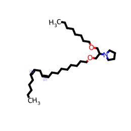 CCCCC/C=C\C/C=C\CCCCCCCCOCC(COCCCCCCCC)N1CCCC1